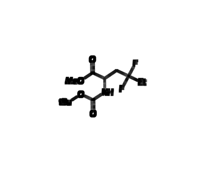 CCC(F)(F)CC(NC(=O)OC(C)(C)C)C(=O)OC